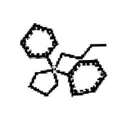 CCCCP1(c2ccccc2)(c2ccccc2)CCCC1